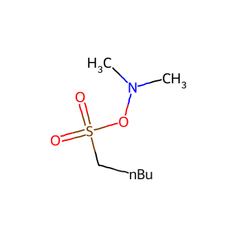 CCCCCS(=O)(=O)ON(C)C